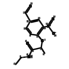 CCNC(=O)C(C)Oc1ccc(C=O)cc1[N+](=O)[O-]